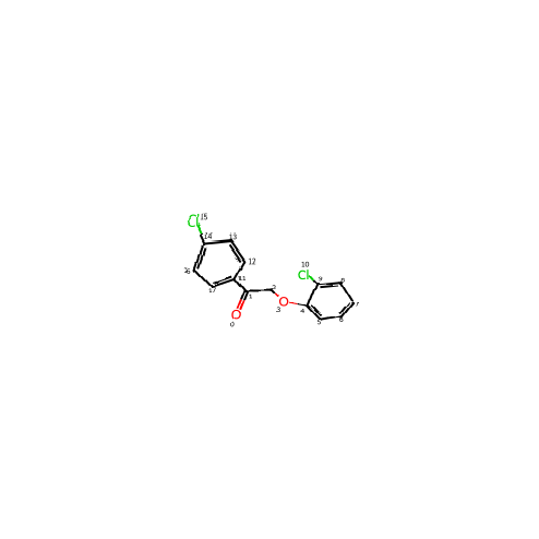 O=C(COc1ccccc1Cl)c1ccc(Cl)cc1